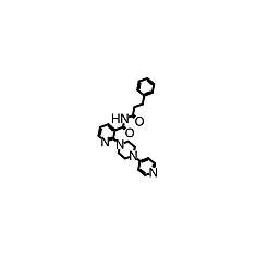 O=C(CCc1ccccc1)NC(=O)c1cccnc1N1CCN(c2ccncc2)CC1